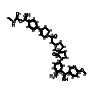 CNC(=O)OC(=N)c1ccc(C2=CCN(C(=O)CN3CC[C@]4(CCN(c5ccc(N)c(C(=N)c6ccc(OC)nc6)c5)C4=O)C3)CC2)cc1